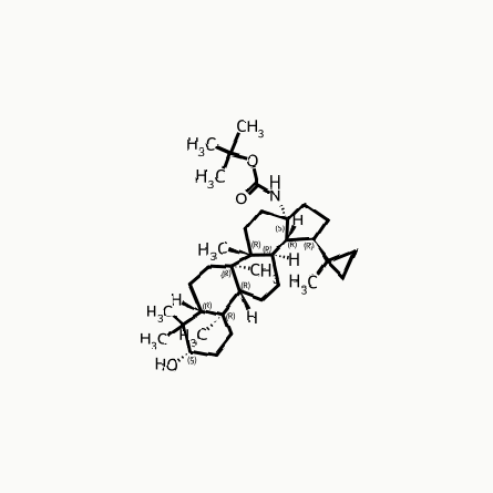 CC(C)(C)OC(=O)N[C@]12CC[C@@H](C3(C)CC3)[C@@H]1[C@H]1CC[C@@H]3[C@@]4(C)CC[C@H](O)C(C)(C)[C@@H]4CC[C@@]3(C)[C@]1(C)CC2